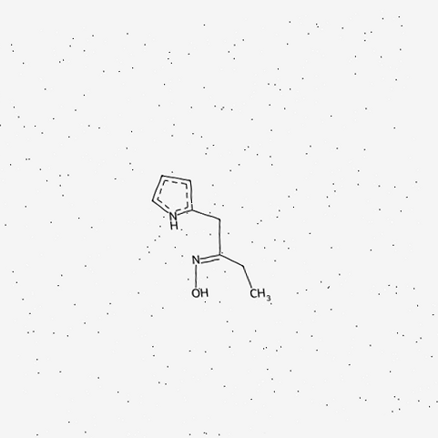 CCC(Cc1ccc[nH]1)=NO